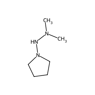 CN(C)NN1CCCC1